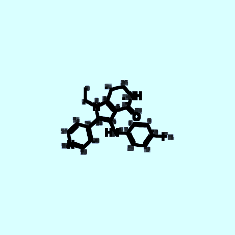 CCn1c2c(c(Nc3ccc(F)cc3)c1-c1ccncc1)C(=O)NCC2